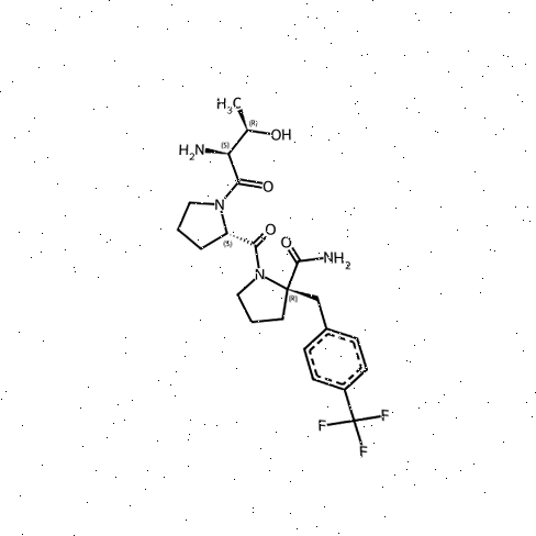 C[C@@H](O)[C@H](N)C(=O)N1CCC[C@H]1C(=O)N1CCC[C@@]1(Cc1ccc(C(F)(F)F)cc1)C(N)=O